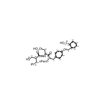 CCCCCN(Cc1ccc(OCc2ccccc2C(=O)O)cc1)C(=O)C(CC(=O)O)NC(=O)C(CS)CC(C)C